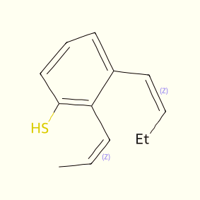 C/C=C\c1c(S)cccc1/C=C\CC